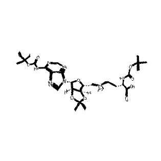 CC(C)(C)OC(=O)Nc1ncnc2c1ncn2[C@@H]1O[C@H](CNCC[C@H](NC(=O)OC(C)(C)C)C(=O)O)[C@H]2OC(C)(C)O[C@H]21